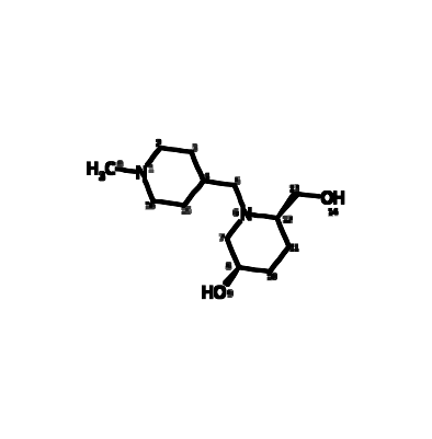 CN1CCC(CN2C[C@H](O)CC[C@@H]2CO)CC1